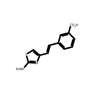 CC(=O)Nc1nc(/C=C/c2cccc(C(=O)O)c2)cs1